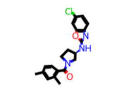 Cc1ccc(C(=O)N2CC[C@@H](Nc3nc4ccc(Cl)cc4o3)C2)c(C)c1